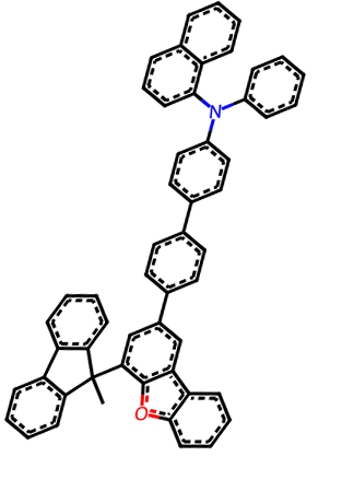 CC1(c2cc(-c3ccc(-c4ccc(N(c5ccccc5)c5cccc6ccccc56)cc4)cc3)cc3c2oc2ccccc23)c2ccccc2-c2ccccc21